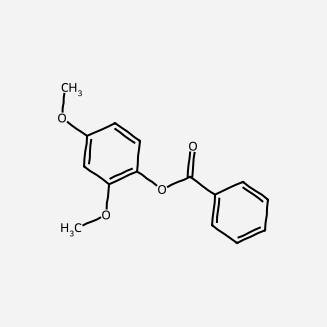 COc1ccc(OC(=O)c2ccccc2)c(OC)c1